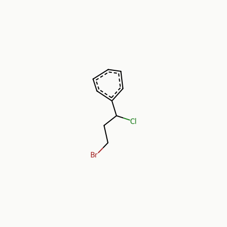 ClC(CCBr)c1ccccc1